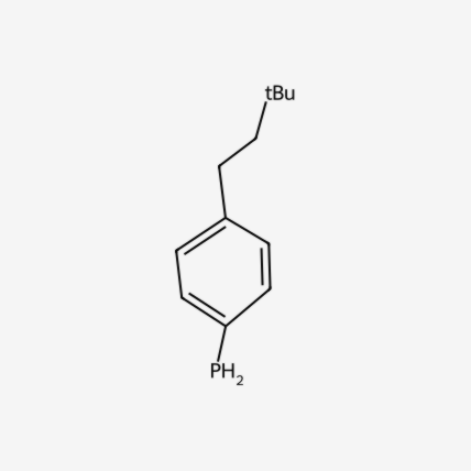 CC(C)(C)CCc1ccc(P)cc1